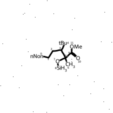 CCCCCCCCCCCC(C(C)(C)C)C(C)(O[SiH3])C(=O)OC